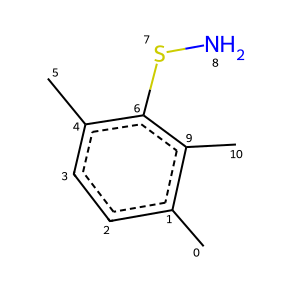 Cc1ccc(C)c(SN)c1C